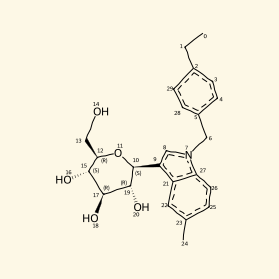 CCc1ccc(Cn2cc([C@@H]3O[C@H](CO)[C@@H](O)[C@H](O)[C@H]3O)c3cc(C)ccc32)cc1